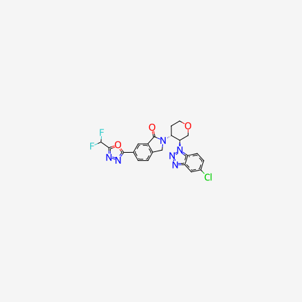 O=C1c2cc(-c3nnc(C(F)F)o3)ccc2CN1[C@@H]1CCOC[C@H]1n1nnc2cc(Cl)ccc21